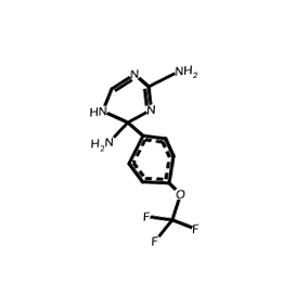 NC1=NC(N)(c2ccc(OC(F)(F)F)cc2)NC=N1